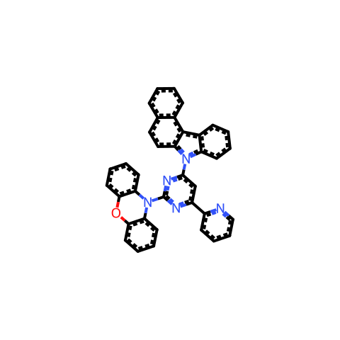 c1ccc(-c2cc(-n3c4ccccc4c4c5ccccc5ccc43)nc(N3c4ccccc4Oc4ccccc43)n2)nc1